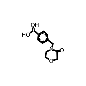 O=C1COCCN1Cc1ccc(B(O)O)cc1